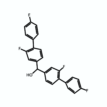 OC(c1ccc(-c2ccc(F)cc2)c(F)c1)c1ccc(-c2ccc(F)cc2)c(F)c1